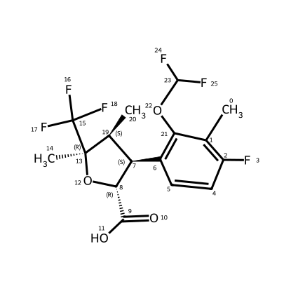 Cc1c(F)ccc([C@H]2[C@H](C(=O)O)O[C@@](C)(C(F)(F)F)[C@H]2C)c1OC(F)F